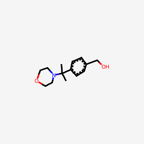 CC(C)(c1ccc(CO)cc1)N1CCOCC1